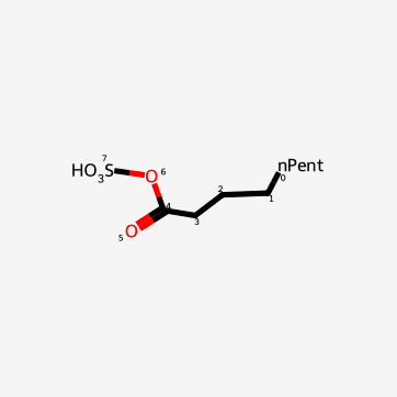 CCCCCCCCC(=O)OS(=O)(=O)O